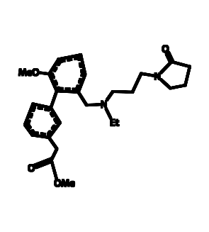 CCN(CCCN1CCCC1=O)Cc1cccc(OC)c1-c1cccc(CC(=O)OC)c1